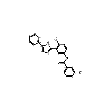 O=C(Nc1ccc(Cl)c(-c2ncc(-c3ccccc3)[nH]2)c1)c1cccc(C(F)(F)F)c1